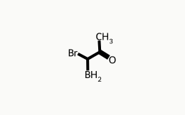 BC(Br)C(C)=O